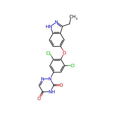 CCc1n[nH]c2ccc(Oc3c(Cl)cc(-n4ncc(=O)[nH]c4=O)cc3Cl)cc12